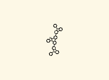 C1=CC2C3CC(c4ccc5c6ccc(C7=Cc8c(n(-c9ccccc9)c9ccccc89)CC7)cc6c6nc7ccccc7n6c5c4)=CC=C3N(c3ccccc3)C2C=C1